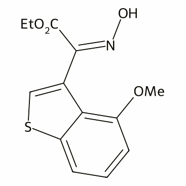 CCOC(=O)C(=NO)c1csc2cccc(OC)c12